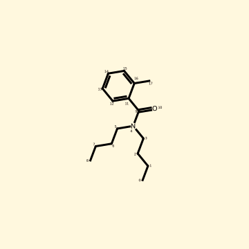 CCCCN(CCCC)C(=O)c1ccccc1C